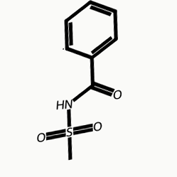 CS(=O)(=O)NC(=O)c1[c]cccc1